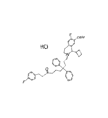 COc1cc2c(cc1F)CCN(CCCC(CCCC(=O)CCc1ccc(F)cc1)(c1ccccc1)c1ccccc1)C2C1CCC1.Cl